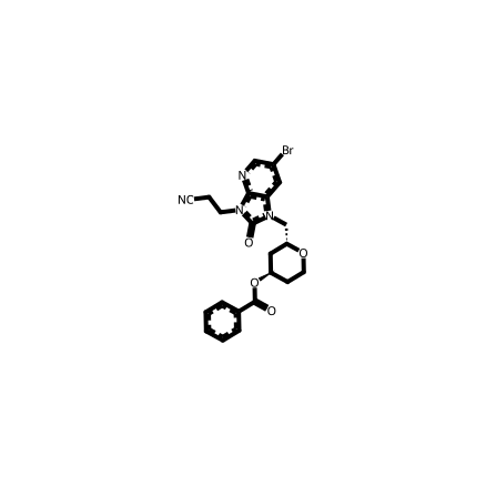 N#CCCn1c(=O)n(C[C@H]2C[C@H](OC(=O)c3ccccc3)CCO2)c2cc(Br)cnc21